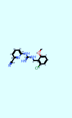 COc1cccc(Cl)c1CNC(=N)Nc1cccc(C#N)n1